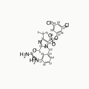 CC(C)c1nc(COC(N)=O)n(Cc2cccc(N)c2)c1S(=O)(=O)Oc1cc(Cl)cc(Cl)c1